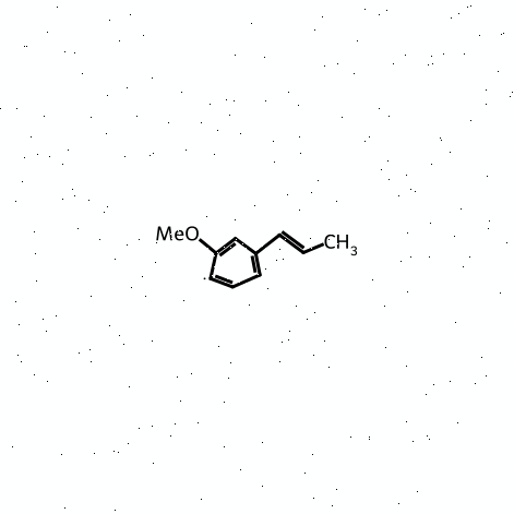 CC=Cc1cc[c]c(OC)c1